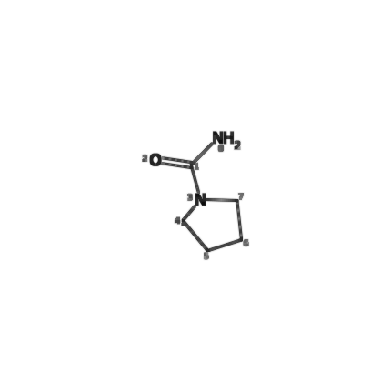 NC(=O)N1[CH]CCC1